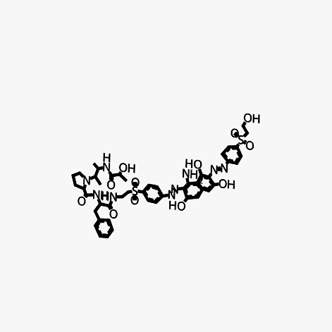 CC(O)C(=O)NC(C)C(C)N1CCCC1C(=O)NC(Cc1ccccc1)C(=O)NCCS(=O)(=O)c1ccc(/N=N/c2c(O)cc3cc(O)c(/N=N/c4ccc(S(=O)(=O)CCO)cc4)c(O)c3c2N)cc1